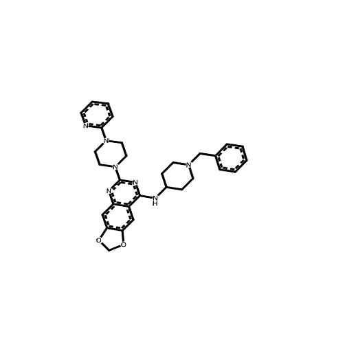 c1ccc(CN2CCC(Nc3nc(N4CCN(c5ccccn5)CC4)nc4cc5c(cc34)OCO5)CC2)cc1